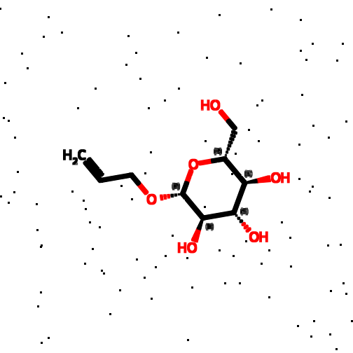 C=CCO[C@@H]1O[C@H](CO)[C@@H](O)[C@H](O)[C@H]1O